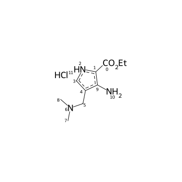 CCOC(=O)c1[nH]cc(CN(C)C)c1N.Cl